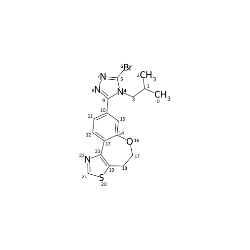 CC(C)Cn1c(Br)nnc1-c1ccc2c(c1)OCCc1scnc1-2